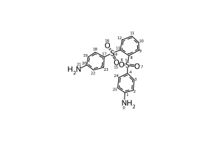 Nc1ccc(S(=O)(=O)c2ccccc2S(=O)(=O)c2ccc(N)cc2)cc1